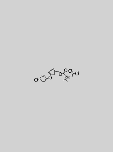 CC1(C)[C@@H](C=C(Cl)Cl)[C@@H]1C(=O)OCc1cccc(Oc2ccc(Cl)cc2)c1